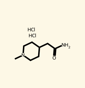 CN1CCC(CC(N)=O)CC1.Cl.Cl